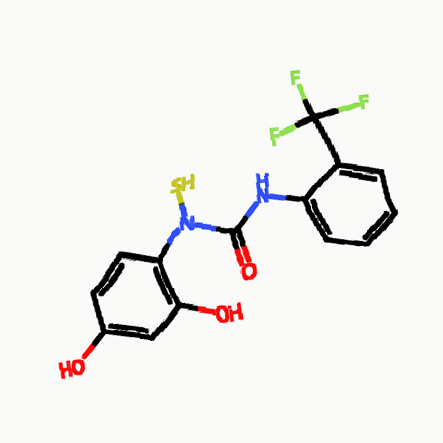 O=C(Nc1ccccc1C(F)(F)F)N(S)c1ccc(O)cc1O